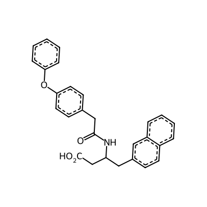 O=C(O)CC(Cc1ccc2ccccc2c1)NC(=O)Cc1ccc(Oc2ccccc2)cc1